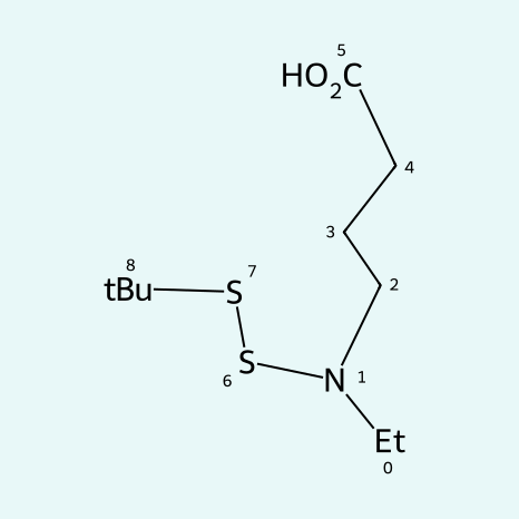 CCN(CCCC(=O)O)SSC(C)(C)C